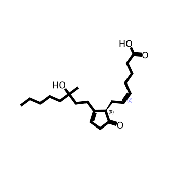 CCCCCC(C)(O)CCC1=CCC(=O)[C@@H]1C/C=C\CCCC(=O)O